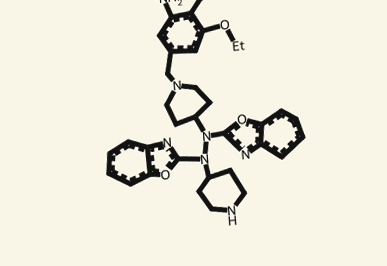 CCOc1cc(CN2CCC(N(c3nc4ccccc4o3)N(c3nc4ccccc4o3)C3CCNCC3)CC2)cc(N)c1I